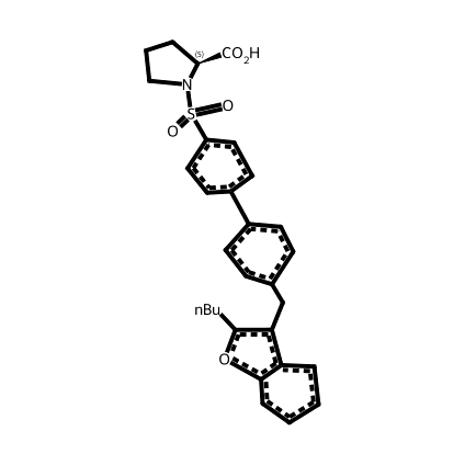 CCCCc1oc2ccccc2c1Cc1ccc(-c2ccc(S(=O)(=O)N3CCC[C@H]3C(=O)O)cc2)cc1